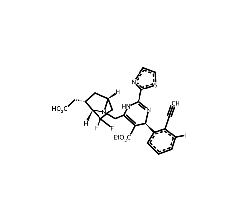 C#Cc1c(I)cccc1[C@@H]1N=C(c2nccs2)NC(CN2[C@@H]3C[C@@H](CC(=O)O)[C@H]2C(F)(F)C3)=C1C(=O)OCC